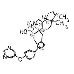 C[C@H]1CC[C@H]2[C@H](CN)[C@@H]([C@@]3(C)Cc4cnn(-c5ccc(Oc6cncnc6)cc5)c4C[C@@H]3CO)CC[C@]12C